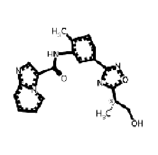 Cc1ccc(-c2noc([C@@H](C)CO)n2)cc1NC(=O)c1cnc2ccccn12